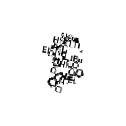 CCOc1cc(O[C@@H]2C[C@@H](C(=O)N[C@]3(C(=O)NS(=O)(=O)OC4(C)CC4)C[C@H]3CC)N(C(=O)[C@@H](NC(=O)OC3(C)CCCC3)C(C)(C)C)C2)c2cccc(Cl)c2n1